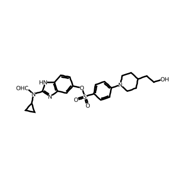 O=CN(c1nc2cc(OS(=O)(=O)c3ccc(N4CCC(CCO)CC4)cc3)ccc2[nH]1)C1CC1